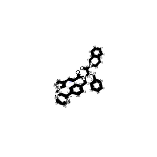 Cn1cc(/C=C/C(=O)N(Cc2ccc(-c3cnccn3)cc2)[C@@H](Cc2ccccc2)C(=O)N2CCc3ccccc3C2)cn1